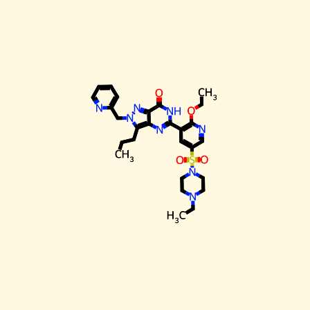 CCCc1c2nc(-c3cc(S(=O)(=O)N4CCN(CC)CC4)cnc3OCC)[nH]c(=O)c2nn1Cc1ccccn1